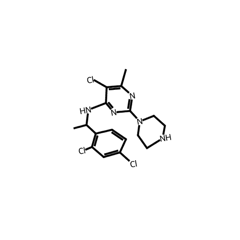 Cc1nc(N2CCNCC2)nc(NC(C)c2ccc(Cl)cc2Cl)c1Cl